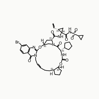 C=C[C@@H]1C[C@]1(NC(=O)[C@@H]1C[C@@H]2CN1C(=O)[C@H](C1CCCC1)NC(=O)O[C@@H]1CCC[C@H]1CCC=CCn1c(nc3cc(Br)ccc3c1=O)O2)C(=O)NS(=O)(=O)C1CC1